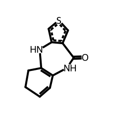 O=C1NC2=C(CCC=C2)Nc2cscc21